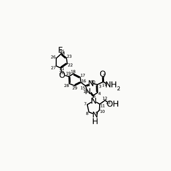 NC(=O)c1cc(N2CCNCC2CO)nc(-c2ccc(OC3=CC=C(F)CC3)cc2)n1